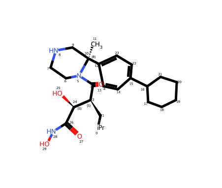 CC(C)C[C@H](C(=O)N1CCNC[C@@]1(C)c1ccc(C2CCCCC2)cc1)[C@H](O)C(=O)NO